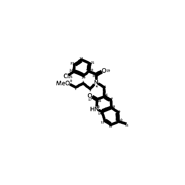 COCCCN(Cc1cc2cc(C)ccc2[nH]c1=O)C(=O)c1cccc(Cl)c1